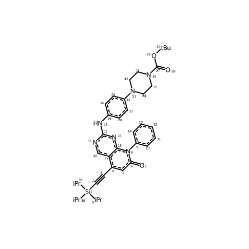 CC(C)[Si](C#Cc1cc(=O)n(-c2ccccc2)c2nc(Nc3ccc(N4CCN(C(=O)OC(C)(C)C)CC4)cc3)ncc12)(C(C)C)C(C)C